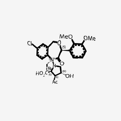 COc1cccc([C@@H]2OCc3cc(Cl)ccc3[N@+](CC(C)(C)C)(N3C[C@H](O)[C@@H](C(C)=O)[C@H]3C(=O)O)C2=O)c1OC